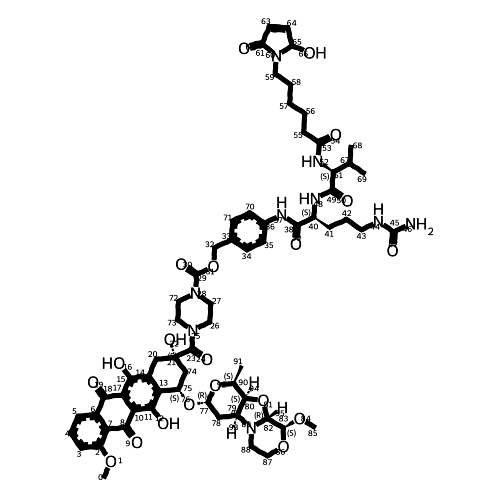 COc1cccc2c1C(=O)c1c(O)c3c(c(O)c1C2=O)C[C@@](O)(C(=O)N1CCN(C(=O)OCc2ccc(NC(=O)[C@H](CCCNC(N)=O)NC(=O)[C@@H](NC(=O)CCCCCN4C(=O)C=CC4O)C(C)C)cc2)CC1)C[C@@H]3O[C@H]1C[C@H]2[C@H](O[C@@H]3[C@@H](OC)OCCN32)[C@H](C)O1